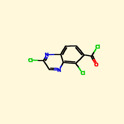 O=C(Cl)c1ccc2nc(Cl)cnc2c1Cl